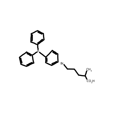 CC(CCCBr)C(=O)O.c1ccc(P(c2ccccc2)c2ccccc2)cc1